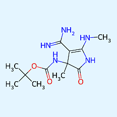 CNC1=C(C(=N)N)C(C)(NC(=O)OC(C)(C)C)C(=O)N1